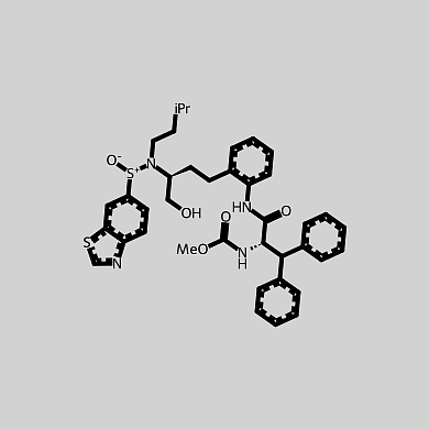 COC(=O)N[C@H](C(=O)Nc1ccccc1CC[C@@H](CO)N(CCC(C)C)[S+]([O-])c1ccc2ncsc2c1)C(c1ccccc1)c1ccccc1